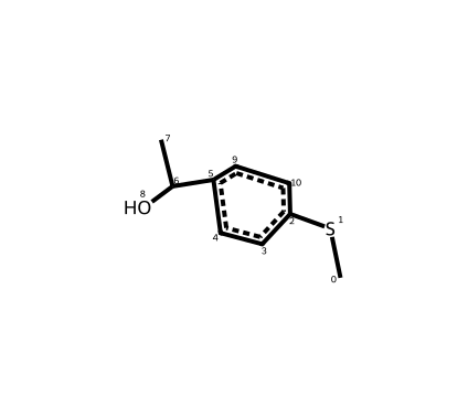 CSc1ccc(C(C)O)cc1